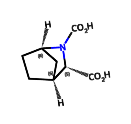 O=C(O)[C@@H]1[C@H]2CC[C@H](C2)N1C(=O)O